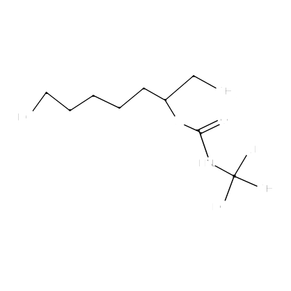 CCCCCCC(CC)OC(=O)NC(C)(C)C